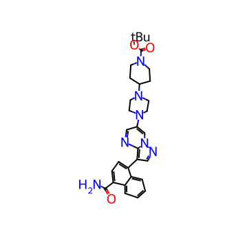 CC(C)(C)OC(=O)N1CCC(N2CCN(c3cnc4c(-c5ccc(C(N)=O)c6ccccc56)cnn4c3)CC2)CC1